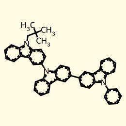 CC(C)(C)Cn1c2ccccc2c2cc(-n3c4ccccc4c4cc(-c5ccc6c(c5)c5ccccc5n6-c5ccccc5)ccc43)ccc21